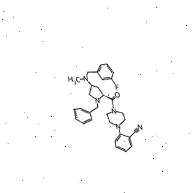 CN(Cc1cccc(F)c1)[C@H]1C[C@@H](C(=O)N2CCN(c3ccccc3C#N)CC2)N(Cc2ccccc2)C1